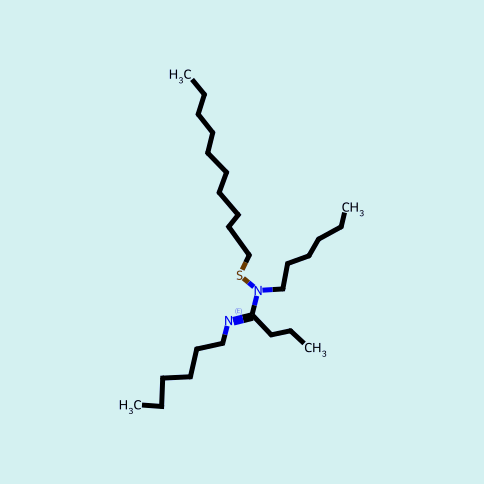 CCCCCCCCCCSN(CCCCCC)/C(CCC)=N/CCCCCC